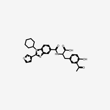 CC(=O)c1cc(CC(NC(=O)c2ccc3c(c2)nc(-c2ccoc2)n3C2CCCCC2)C(=O)O)ccc1O